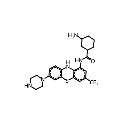 NC1CCCC(C(=O)Nc2cc(C(F)(F)F)cc3c2Nc2ccc(N4CCNCC4)cc2S3)C1